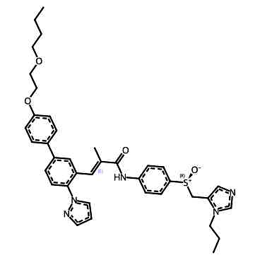 CCCCOCCOc1ccc(-c2ccc(-n3cccn3)c(/C=C(\C)C(=O)Nc3ccc([S@@+]([O-])Cc4cncn4CCC)cc3)c2)cc1